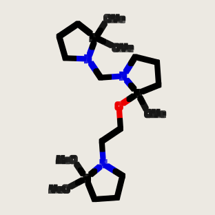 CO[Si]1(OC)CCCN1CCO[Si]1(OC)CCCN1CN1CCC[Si]1(OC)OC